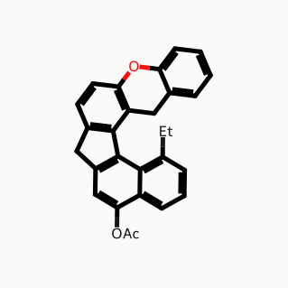 CCc1cccc2c(OC(C)=O)cc3c(c12)-c1c(ccc2c1Cc1ccccc1O2)C3